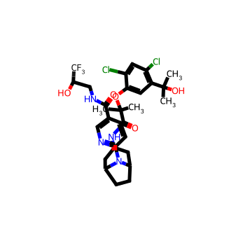 CC(C)(Oc1cc(C(C)(C)O)c(Cl)cc1Cl)C(=O)NC1CC2CCC(C1)N2c1ccc(C(=O)NCC(O)C(F)(F)F)cn1